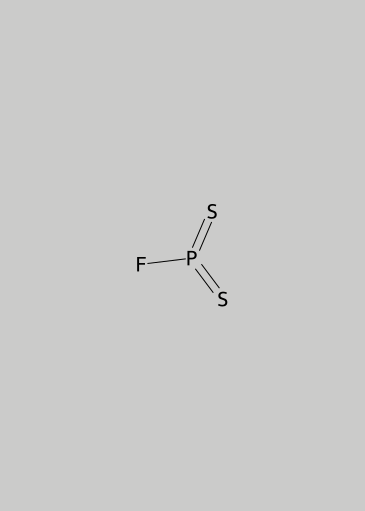 FP(=S)=S